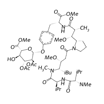 CCC(C)[C@@H]([C@@H](CC(=O)N1CCC[C@H]1[C@H](OC)[C@@H](C)C(=O)N[C@H](Cc1ccc(O[C@H]2O[C@@H](C(=O)OC)[C@H](O)[C@@H](OC(C)=O)[C@@H]2OC(C)=O)cc1)C(=O)OC)OC)N(C)C(=O)[C@@H](NC(=O)[C@@H](NC)C(C)C)C(C)C